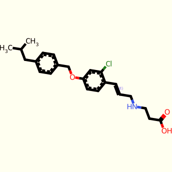 CC(C)Cc1ccc(COc2ccc(/C=C/CNCCC(=O)O)c(Cl)c2)cc1